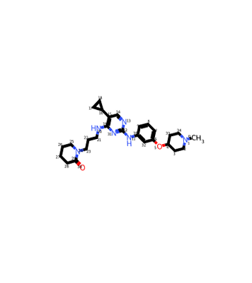 CN1CCC(Oc2cccc(Nc3ncc(C4CC4)c(NCCCN4CCCCC4=O)n3)c2)CC1